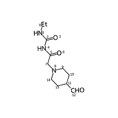 CCNC(=O)NC(=O)CN1CCC(C=O)CC1